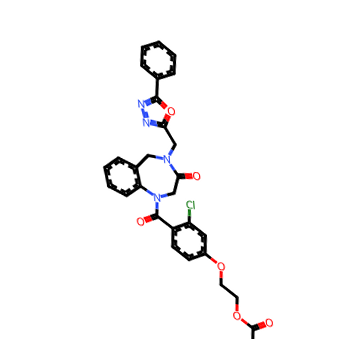 CC(=O)OCCOc1ccc(C(=O)N2CC(=O)N(Cc3nnc(-c4ccccc4)o3)Cc3ccccc32)c(Cl)c1